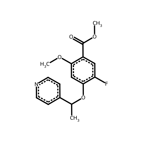 COC(=O)c1cc(F)c(OC(C)c2ccncc2)cc1OC